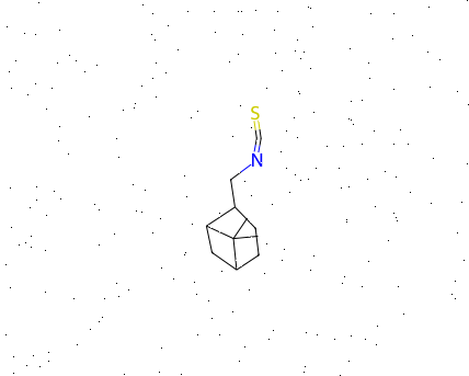 CC1(C)C2CCC(CN=C=S)C1C2